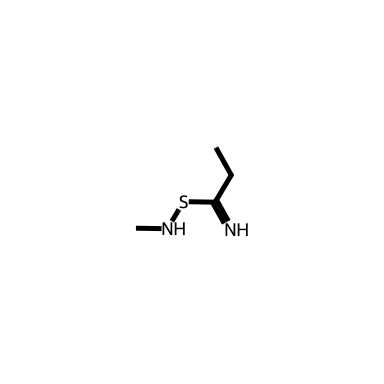 CCC(=N)SNC